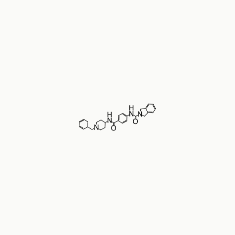 O=C(NC1CCN(Cc2ccccc2)CC1)c1ccc(NC(=O)N2Cc3ccccc3C2)cc1